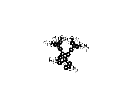 CC(C)(C)c1ccc2c(c1)c1cc(C(C)(C)C)ccc1n2-c1ccc(-c2ccc3c(c2)c2cc(-c4ccc(-n5c6ccc(C(C)(C)C)cc6c6cc(C(C)(C)C)ccc65)cc4)ccc2c2nc4c(-c5cccc6c5-c5ccccc5C6(C)C)sc(-c5cccc6c5-c5ccccc5C6(C)C)c4nc32)cc1